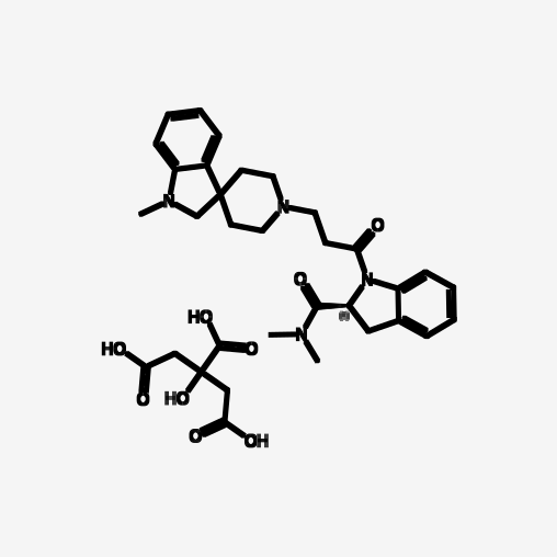 CN(C)C(=O)[C@@H]1Cc2ccccc2N1C(=O)CCN1CCC2(CC1)CN(C)c1ccccc12.O=C(O)CC(O)(CC(=O)O)C(=O)O